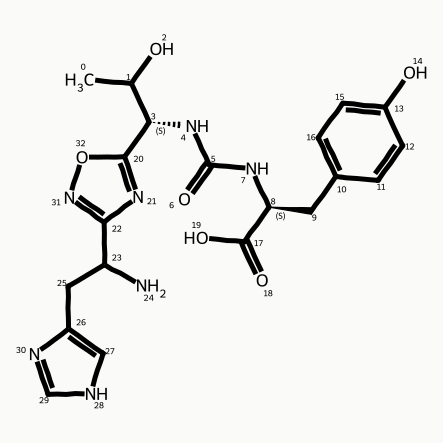 CC(O)[C@H](NC(=O)N[C@@H](Cc1ccc(O)cc1)C(=O)O)c1nc(C(N)Cc2c[nH]cn2)no1